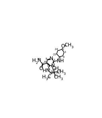 COC1CCC(Nc2ncc(C(N)=O)c(N[C@@H](C)C(C)(C)C)n2)CC1